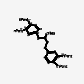 CCCCCCC([CH]Cc1ccc(CCCCC)c(CCCCC)c1)Cc1ccc(CCCCC)c(CCCCC)c1